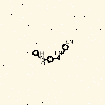 N#Cc1ccc(CN[C@@H]2C[C@H]2c2ccc(C(=O)NCc3ccccc3)cc2)cc1